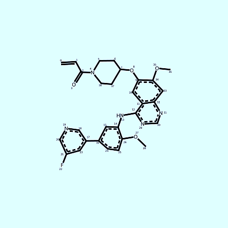 C=CC(=O)N1CCC(Oc2cc3c(Nc4cc(-c5cncc(F)c5)ccc4OC)ncnc3cc2OC)CC1